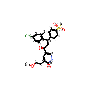 CCOCCc1cc(C(=O)CC(c2ccc(S(C)(=O)=O)cc2)c2ccc(Cl)cc2C)c[nH]c1=O